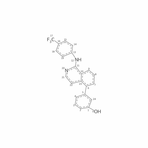 Oc1cccc(-c2cccc3c(Nc4ccc(C(F)(F)F)cc4)nccc23)c1